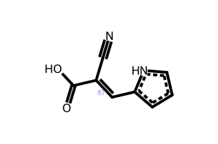 N#C/C(=C\c1ccc[nH]1)C(=O)O